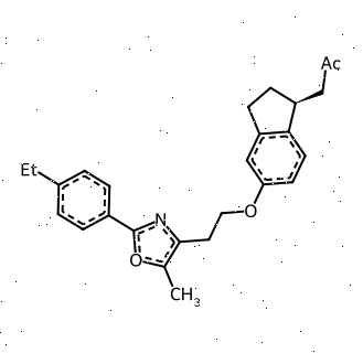 CCc1ccc(-c2nc(CCOc3ccc4c(c3)CC[C@H]4CC(C)=O)c(C)o2)cc1